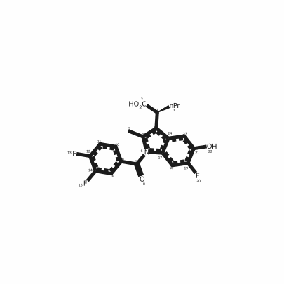 CCC[C@H](C(=O)O)c1c(C)n(C(=O)c2ccc(F)c(F)c2)c2cc(F)c(O)cc12